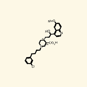 COc1ccc2nccc(C(O)CC[C@@H]3CCN(CCCCc4cccc(Cl)c4)C[C@@H]3C(=O)O)c2c1